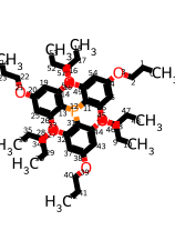 CCCOc1cc(OCCC)c(P(c2c(OCCC)cc(OCCC)cc2OCCC)c2c(OCCC)cc(OCCC)cc2OCCC)c(OCCC)c1